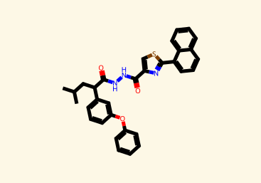 CC(C)CC(C(=O)NNC(=O)c1csc(-c2cccc3ccccc23)n1)c1cccc(Oc2ccccc2)c1